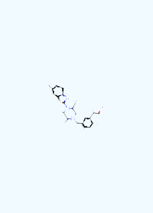 Cc1ccc2nc(N3CC(C)N(Cc4cccc(CC=O)c4)CC3C)sc2c1